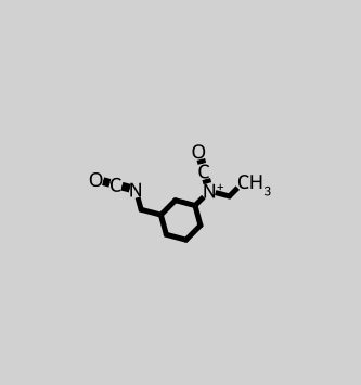 CC[N+](=C=O)C1CCCC(CN=C=O)C1